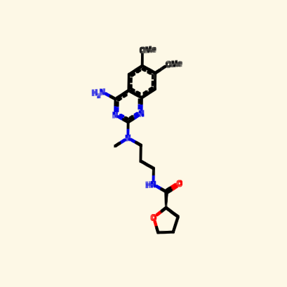 COc1cc2nc(N(C)CCCNC(=O)[C@H]3CCCO3)nc(N)c2cc1OC